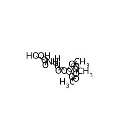 CC(=O)OC[C@H]1O[C@@H](OCC(=O)NCCCNC(=O)OC[C@H](O)CO)C[C@@H](OC(C)=O)[C@H]1OC(C)=O